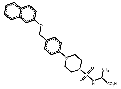 CC(NS(=O)(=O)N1CCN(c2ccc(COc3ccc4ccccc4c3)cc2)CC1)C(=O)O